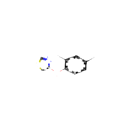 Cc1ccc(Oc2cs[c]n2)c(C)c1